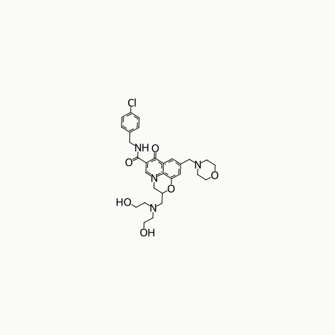 O=C(NCc1ccc(Cl)cc1)c1cn2c3c(cc(CN4CCOCC4)cc3c1=O)OC(CN(CCO)CCO)C2